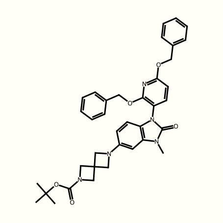 Cn1c(=O)n(-c2ccc(OCc3ccccc3)nc2OCc2ccccc2)c2ccc(N3CC4(CN(C(=O)OC(C)(C)C)C4)C3)cc21